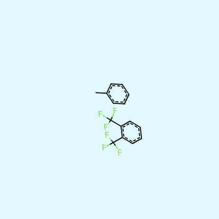 Cc1ccccc1.FC(F)(F)c1ccccc1C(F)(F)F